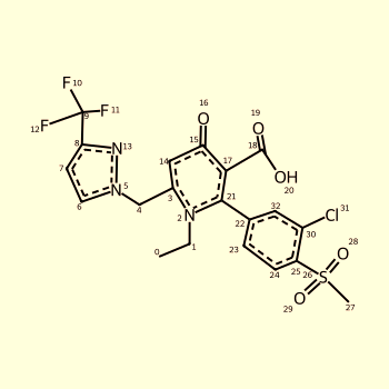 CCn1c(Cn2ccc(C(F)(F)F)n2)cc(=O)c(C(=O)O)c1-c1ccc(S(C)(=O)=O)c(Cl)c1